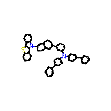 c1ccc(-c2ccc(N(c3ccc(-c4ccccc4)cc3)c3cccc(-c4ccc5cc(-n6c7ccccc7c7sc8ccccc8c76)ccc5c4)c3)cc2)cc1